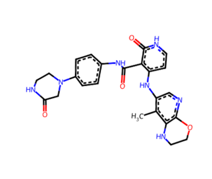 Cc1c(Nc2cc[nH]c(=O)c2C(=O)Nc2ccc(N3CCNC(=O)C3)cc2)cnc2c1NCCO2